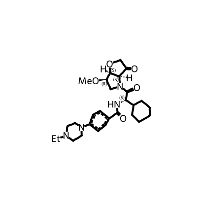 CCN1CCN(c2ccc(C(=O)N[C@H](C(=O)N3C[C@@H](OC)[C@H]4OCC(=O)[C@H]43)C3CCCCC3)cc2)CC1